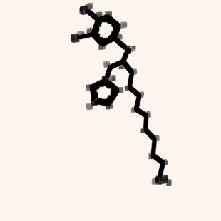 CCCCCCCCCCC(Cn1ccnc1)Sc1ccc(Cl)c(Cl)c1